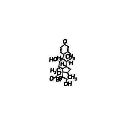 CCC(=O)O[C@@]1(C(=O)CO)[C@H](C)C[C@H]2[C@@H]3CCC4=CC(=O)C=C[C@]4(C)[C@H]3[C@@H](O)C[C@@]21C